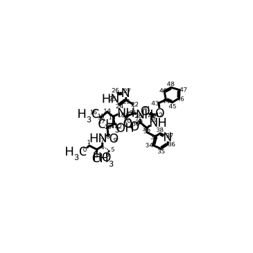 CCC(C)[C@@H](CO)NC(=O)CC(O)C(CC(C)C)NC(=O)[C@H](Cc1c[nH]cn1)NC(=O)[C@H](Cc1cccnc1)NC(=O)OCc1ccccc1